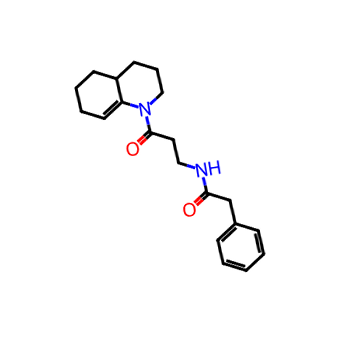 O=C(Cc1ccccc1)NCCC(=O)N1CCCC2CCCC=C21